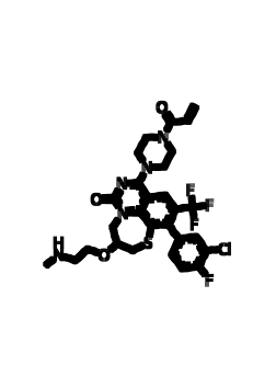 C=CC(=O)N1CCN(c2nc(=O)n3c4c(c(-c5ccc(F)c(Cl)c5)c(C(F)(F)F)cc24)SCC(OCCNC)C3)CC1